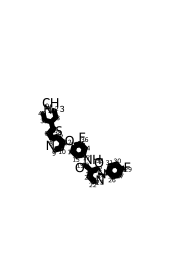 CN1CCC(c2cc3nccc(Oc4ccc(NC(=O)c5ccnn(-c6ccc(F)cc6)c5=O)cc4F)c3s2)CC1